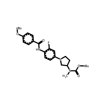 CCCCOc1ccc(C(=O)Nc2ccc(N3CCC(N(C)C(=O)OC(C)(C)C)C3)cc2F)cc1